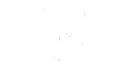 CC(C(=O)O)C(NC(P(=O)(O)O)P(=O)(O)O)C(=O)O